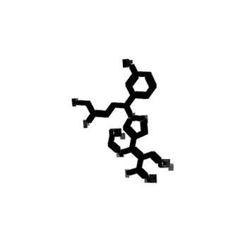 C=C/C(C(=N)I)=C(/N=C\C)c1cnn(C(C/C=C(/F)CF)c2cccc(Br)c2)c1